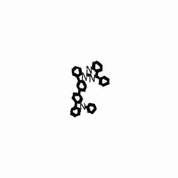 c1ccc(-c2nc(-n3c4ccccc4c4cc(-c5ccc6c7ccccc7n(-c7ccccc7)c6c5)ccc43)nc3ccccc23)cc1